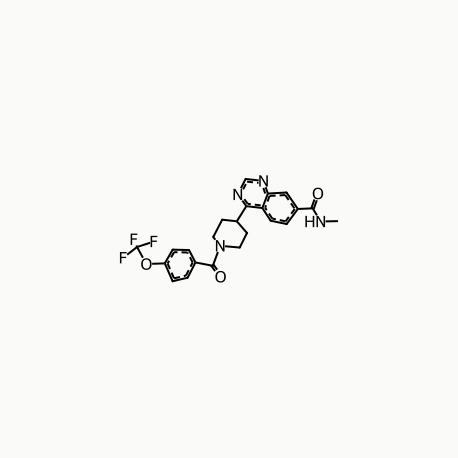 CNC(=O)c1ccc2c(C3CCN(C(=O)c4ccc(OC(F)(F)F)cc4)CC3)ncnc2c1